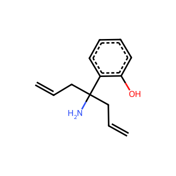 C=CCC(N)(CC=C)c1ccccc1O